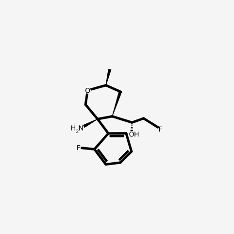 C[C@H]1C[C@@H]([C@@H](O)CF)[C@](N)(c2ccccc2F)CO1